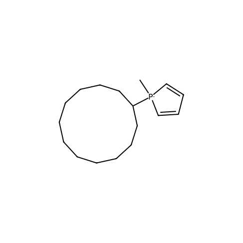 C[P]1(C2CCCCCCCCCCC2)C=CC=C1